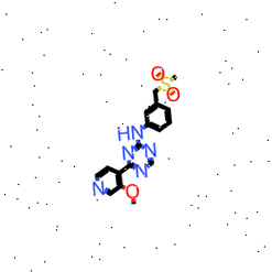 COc1cnccc1-c1ncnc(Nc2cccc(CS(C)(=O)=O)c2)n1